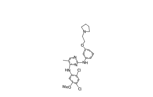 COc1cc(Nc2nc(Nc3cccc(OCCN4CCCC4)c3)ncc2C)c(Cl)cc1Cl